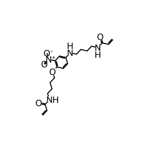 C=CC(=O)NCCCCNc1ccc(OCCCCNC(=O)C=C)c([N+](=O)[O-])c1